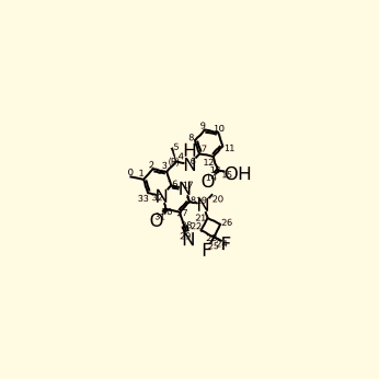 Cc1cc([C@@H](C)Nc2ccccc2C(=O)O)c2nc(N(C)C3CC(F)(F)C3)c(C#N)c(=O)n2c1